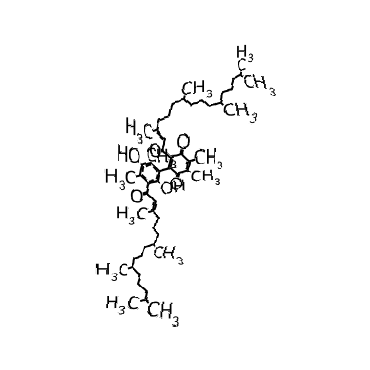 CC1=C(C)C(=O)C(c2c(C)c(O)c(C)c(C(=O)/C=C(\C)CCCC(C)CCCC(C)CCCC(C)C)c2O)=C(C(=O)/C=C(\C)CCCC(C)CCCC(C)CCCC(C)C)C1=O